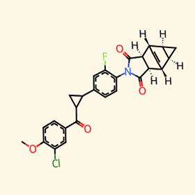 COc1ccc(C(=O)C2CC2c2ccc(N3C(=O)[C@@H]4[C@@H]5C=C[C@@H]([C@H]6C[C@@H]56)[C@@H]4C3=O)c(F)c2)cc1Cl